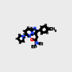 CCN(CC)C(=O)Cc1c(-c2ccc(C)cc2)nc2ccc(N3CCCC3)nn12